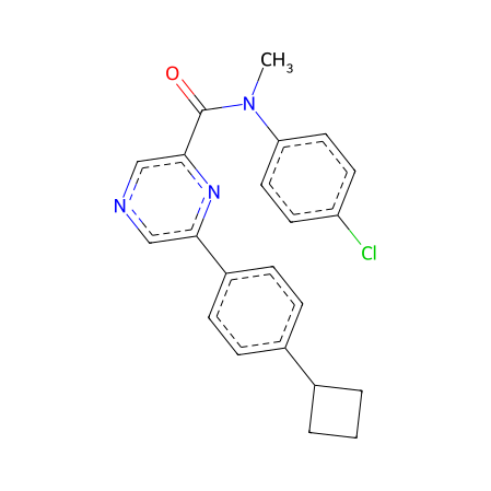 CN(C(=O)c1cncc(-c2ccc(C3CCC3)cc2)n1)c1ccc(Cl)cc1